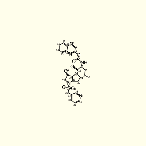 CCCC(NC(=O)Oc1cnc2ccccc2n1)C(=O)N1CCC2C1C(=O)CN2S(=O)(=O)Cc1cccnc1